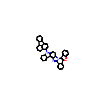 c1ccc2c(c1)-c1cccc3c(-n4c5ccccc5c5c6nc7c8ccccc8c8oc9ccccc9c8n7c6ccc54)ccc-2c13